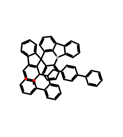 C=C1C=CC2=C(C1C(Cc1ccc(-c3ccccc3)cc1)c1ccccc1-c1ccccc1)C1(c3ccccc32)c2ccccc2-n2c3ccccc3c3cccc1c32